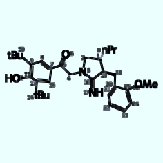 CCC[C@H]1CN(CC(=O)c2cc(C(C)(C)C)c(O)c(C(C)(C)C)c2)C(=N)[C@@H]1Cc1ccccc1OC